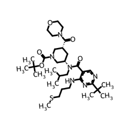 CSCCCNc1nc(C(C)(C)C)ncc1C(=O)N(CC(C)C)[C@H]1C[C@@H](C(=O)N2CCOCC2)CN(C(=O)OC(C)(C)C)C1